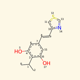 CC(C)c1c(O)cc(/C=C/c2cscn2)cc1O